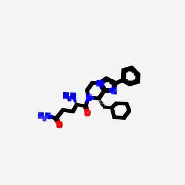 NC(=O)CC[C@H](N)C(=O)N1CCn2cc(-c3ccccc3)nc2[C@@H]1CC1CCCCC1